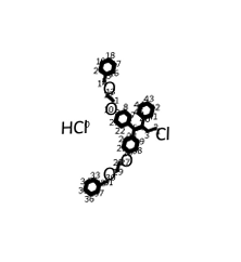 Cl.ClCCC(=C(c1ccc(OCCOCc2ccccc2)cc1)c1ccc(OCCOCc2ccccc2)cc1)c1ccccc1